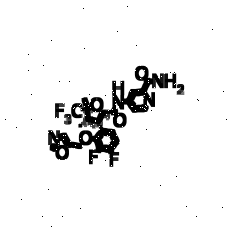 C[C@H]1[C@@H](c2ccc(F)c(F)c2OCc2cnco2)[C@H](C(=O)Nc2ccnc(C(N)=O)c2)O[C@@]1(C)C(F)(F)F